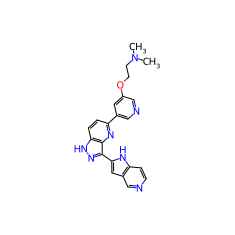 CN(C)CCOc1cncc(-c2ccc3[nH]nc(-c4cc5cnccc5[nH]4)c3n2)c1